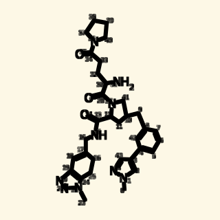 Cn1cc(-c2cccc(CC3CC(C(=O)NCC4=Cc5nnn(C)c5CC4)N(C(=O)C(N)CCC(=O)N4CCCC4)C3)c2)cn1